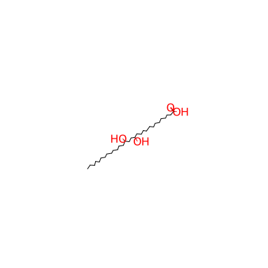 CCCCCCCCCCCCCC(O)CCC(O)CCCCCCCCCCCCC(=O)O